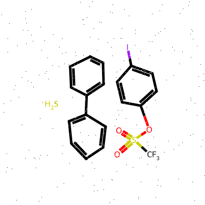 O=S(=O)(Oc1ccc(I)cc1)C(F)(F)F.S.c1ccc(-c2ccccc2)cc1